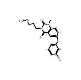 Cn1c(=O)n(CCCOS)c(=O)c2cc(Oc3cccc(Cl)c3)ncc21